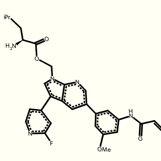 C=CC(=O)Nc1cc(OC)cc(-c2cnc3c(c2)c(-c2ccnc(F)c2)cn3COC(=O)[C@@H](N)CC(C)C)c1